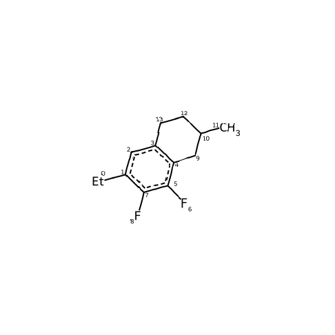 CCc1cc2c(c(F)c1F)CC(C)CC2